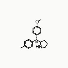 COc1ccc([C@@H](c2ccc(C)cc2)C2CCCN2)cc1